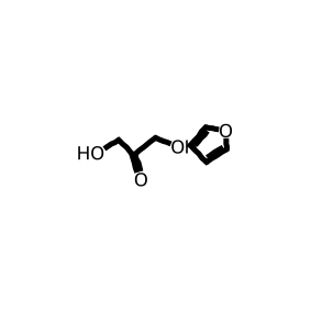 O=C(CO)CO.c1ccoc1